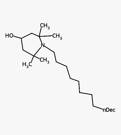 CCCCCCCCCCCCCCCCCCN1C(C)(C)CC(O)CC1(C)C